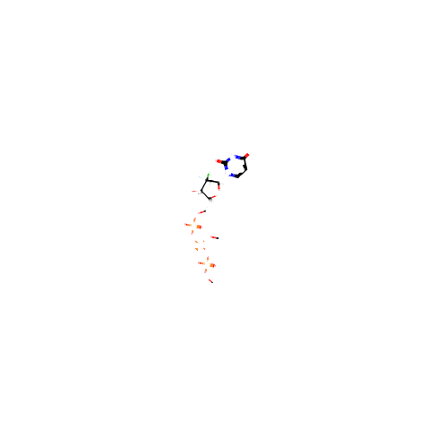 COP(=O)(O)OP(=O)(OC)OP(=O)(O)OC[C@H]1O[C@@H](n2ccc(=O)[nH]c2=O)[C@@](F)(Cl)[C@@H]1O